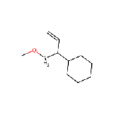 C=CC([SiH2]OC)C1CCCCC1